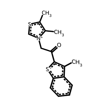 Cc1sc[n+](CC(=O)c2sc3ccccc3c2C)c1C